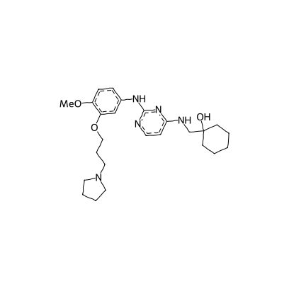 COc1ccc(Nc2nccc(NCC3(O)CCCCC3)n2)cc1OCCCN1CCCC1